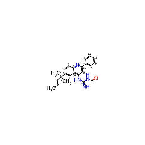 CCCC(C)(C)c1ccc2nc(-c3ccccc3)cc(NC(=N)NC=O)c2c1